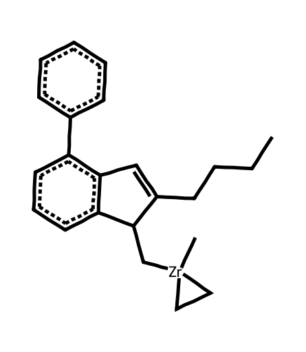 CCCCC1=Cc2c(-c3ccccc3)cccc2C1[CH2][Zr]1([CH3])[CH2][CH2]1